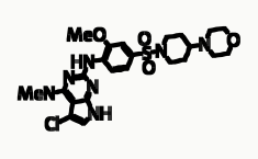 CNc1nc(Nc2ccc(S(=O)(=O)N3CCC(N4CCOCC4)CC3)cc2OC)nc2[nH]cc(Cl)c12